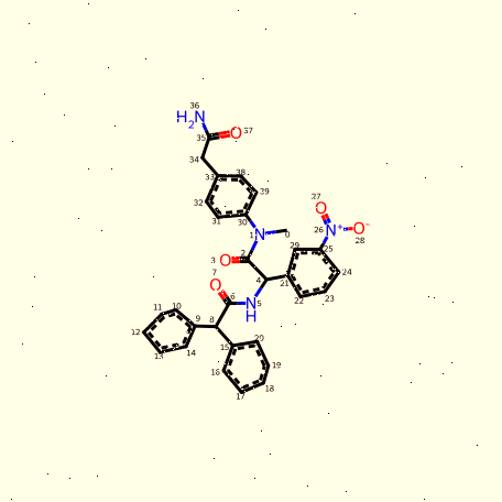 CN(C(=O)C(NC(=O)C(c1ccccc1)c1ccccc1)c1cccc([N+](=O)[O-])c1)c1ccc(CC(N)=O)cc1